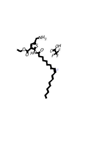 CCCCCCCC/C=C\CCCCCCCC(=O)Nc1sc(CN)cc1C(=O)OCC.O=C(O)C(F)(F)F